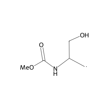 [CH2]C(CO)NC(=O)OC